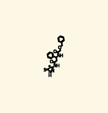 O=C(CC(NC(=O)COCc1ccccc1)c1ccccc1)Nc1n[nH]c(=S)s1